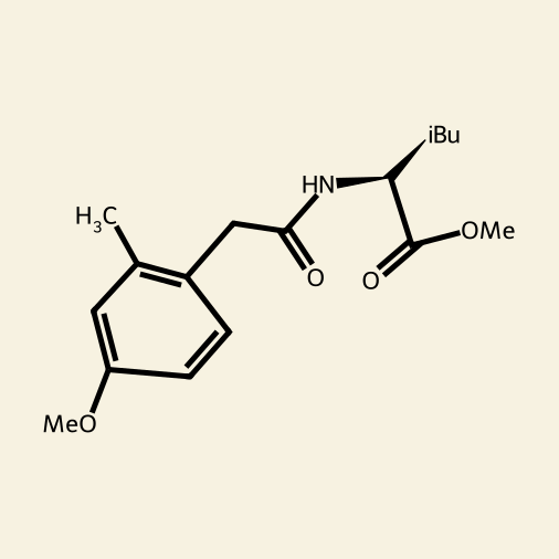 CC[C@H](C)[C@H](NC(=O)Cc1ccc(OC)cc1C)C(=O)OC